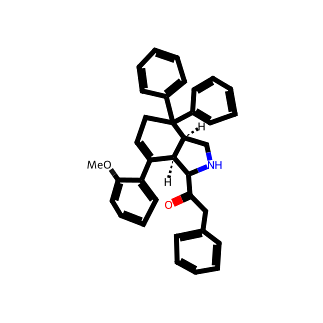 COc1ccccc1C1=CCC(c2ccccc2)(c2ccccc2)[C@H]2CNC(C(=O)Cc3ccccc3)[C@@H]12